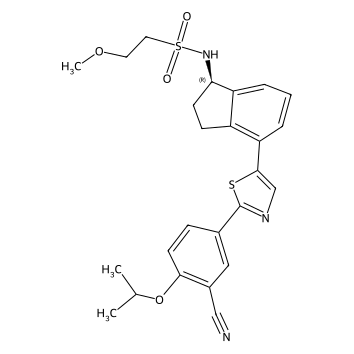 COCCS(=O)(=O)N[C@@H]1CCc2c(-c3cnc(-c4ccc(OC(C)C)c(C#N)c4)s3)cccc21